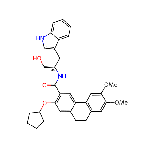 COc1cc2c(cc1OC)-c1cc(C(=O)N[C@@H](CO)Cc3c[nH]c4ccccc34)c(OC3CCCC3)cc1CC2